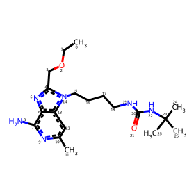 CCOCc1nc2c(N)nc(C)cc2n1CCCCNC(=O)NC(C)(C)C